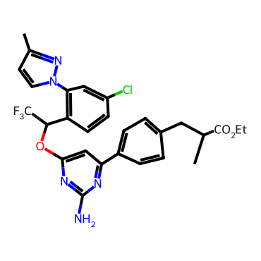 CCOC(=O)C(C)Cc1ccc(-c2cc(OC(c3ccc(Cl)cc3-n3ccc(C)n3)C(F)(F)F)nc(N)n2)cc1